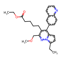 CCOC(=O)CCCCc1c(COC)nn2c(CC)ccc2c1-c1ccc2ncccc2c1